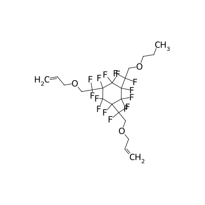 C=CCOCC(F)(F)C1(F)C(F)(F)C(F)(C(F)(F)COCC=C)C(F)(F)C(F)(C(F)(F)COCCC)C1(F)F